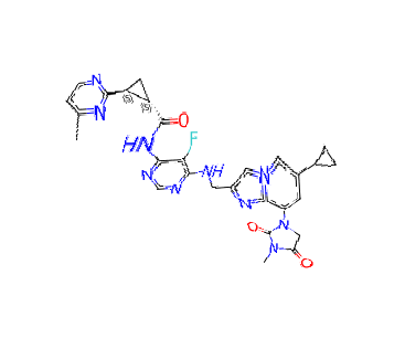 Cc1ccnc([C@H]2C[C@@H]2C(=O)Nc2ncnc(NCc3cn4cc(C5CC5)cc(N5CC(=O)N(C)C5=O)c4n3)c2F)n1